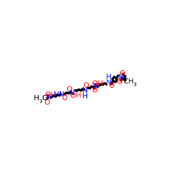 CC(=O)N(O)CCCCCNC(=O)CCC(=O)N(O)CCCCCNC(=O)CCC(=O)N(O)CCCCCNC(=O)C1CCC(CN2C(=O)CC(C)C2=O)CC1